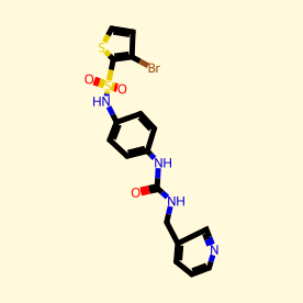 O=C(NCc1cccnc1)Nc1ccc(NS(=O)(=O)c2sccc2Br)cc1